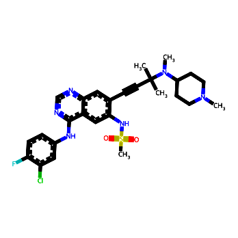 CN1CCC(N(C)C(C)(C)C#Cc2cc3ncnc(Nc4ccc(F)c(Cl)c4)c3cc2NS(C)(=O)=O)CC1